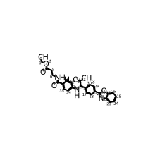 CCOC(=O)CCNC(=O)c1ccc(NC(c2ccc(-c3nc4ccccc4o3)cc2)C(C)C)cc1